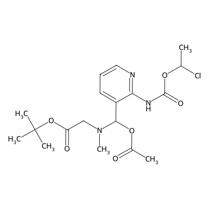 CC(=O)OC(c1cccnc1NC(=O)OC(C)Cl)N(C)CC(=O)OC(C)(C)C